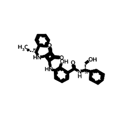 CC[C@@H](Nc1c(Nc2cccc(C(=O)N[C@H](CO)c3ccccc3)c2O)c(=O)c1=O)c1ccccc1